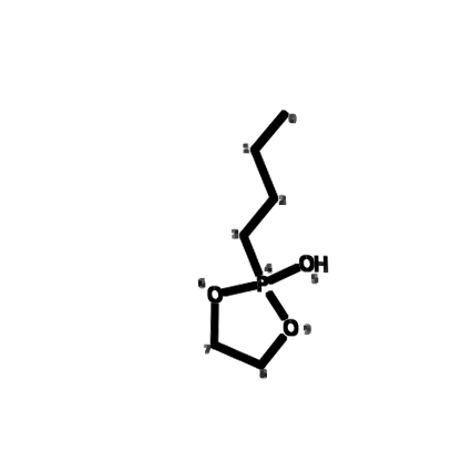 CCCC[P]1(O)OCCO1